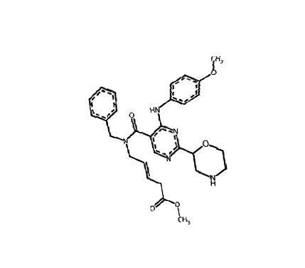 COC(=O)C/C=C/CN(Cc1ccccc1)C(=O)c1cnc(C2CNCCO2)nc1Nc1ccc(OC)cc1